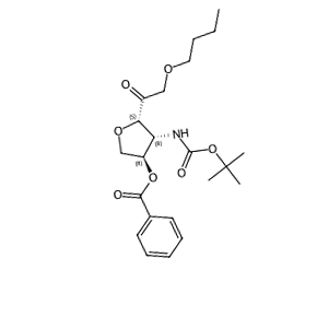 CCCCOCC(=O)[C@H]1OC[C@H](OC(=O)c2ccccc2)[C@H]1NC(=O)OC(C)(C)C